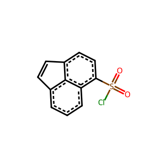 O=S(=O)(Cl)c1ccc2c3c(cccc13)C=C2